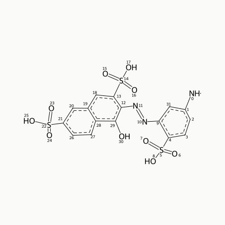 [NH]c1ccc(S(=O)(=O)O)c(N=Nc2c(S(=O)(=O)O)cc3cc(S(=O)(=O)O)ccc3c2O)c1